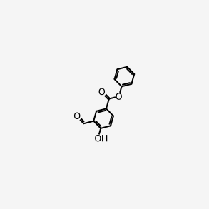 O=Cc1cc(C(=O)Oc2ccccc2)ccc1O